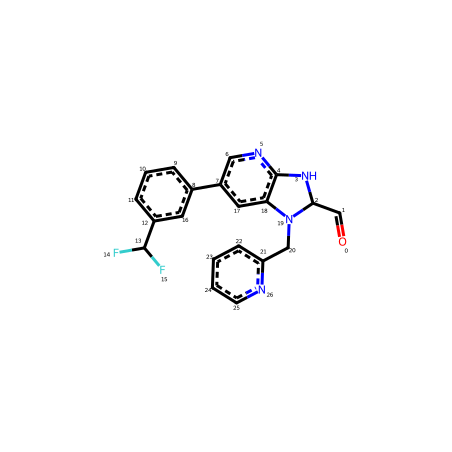 O=CC1Nc2ncc(-c3cccc(C(F)F)c3)cc2N1Cc1ccccn1